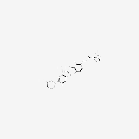 Cn1c(Nc2c(Cl)ccc(CNC(=O)C34CC(CN3)C4)c2Cl)nc2cc(Cl)c(N3CCCC(C(F)(F)F)C3)cc21